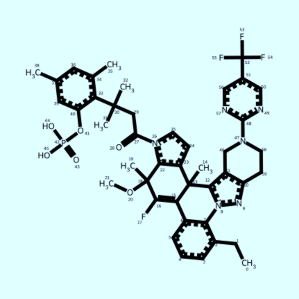 CCc1cccc2c1-n1nc3c(c1C1(C)C2=C(F)C(C)(OC)c2c1ccn2C(=O)CC(C)(C)c1c(C)cc(C)cc1OP(=O)(O)O)CN(c1ncc(C(F)(F)F)cn1)CC3